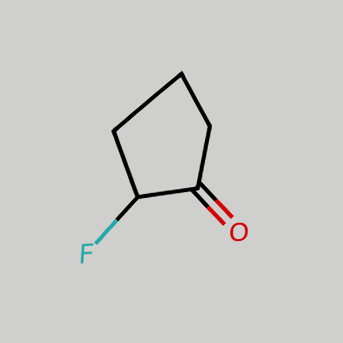 O=C1CCCC1F